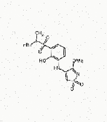 CCCCN(C)S(=O)(=O)c1cccc(NC2=NS(=O)(=O)N=C2OC)c1O